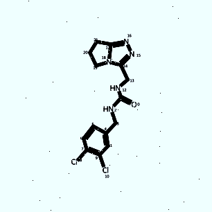 O=C(NCc1ccc(Cl)c(Cl)c1)NCc1nnc2n1CCC2